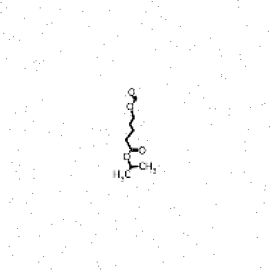 CC(C)OC(=O)CCCCO[C]=O